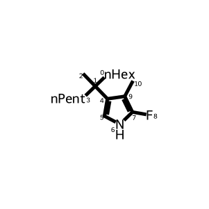 CCCCCCC(C)(CCCCC)c1c[nH]c(F)c1C